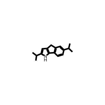 CC(C)c1ccc2c(c1)Cc1cc(C(C)C)[nH]c1-2